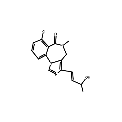 CC(O)C=Cc1ncn2c1CN(C)C(=O)c1c(Cl)cccc1-2